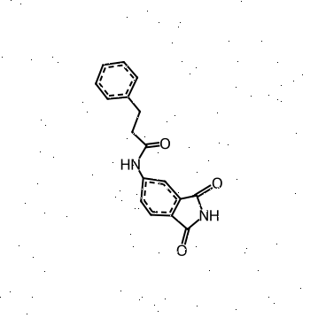 O=C(CCc1ccccc1)Nc1ccc2c(c1)C(=O)NC2=O